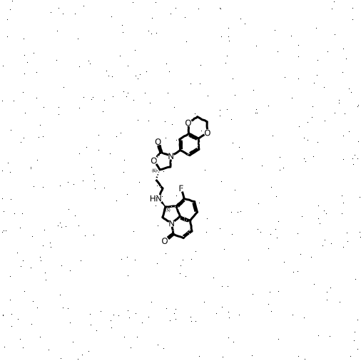 O=C1O[C@@H](CCN[C@@H]2Cn3c(=O)ccc4ccc(F)c2c43)CN1c1ccc2c(c1)OCCO2